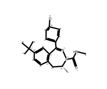 CNC(=O)N1N=C(c2ccc(Cl)cc2)c2cc(C(C)(C)C)ccc2C[C@H]1C